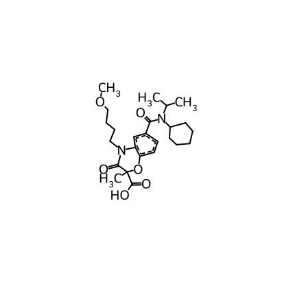 COCCCCN1C(=O)C(C)(C(=O)O)Oc2ccc(C(=O)N(C(C)C)C3CCCCC3)cc21